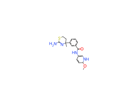 COC1C=CC(NC(=O)c2cccc(C3(C)CCSC(N)=N3)c2)=CN1